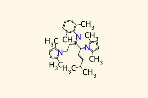 Cc1cccc(C)c1/N=C(\CCn1c(C)ccc1C)[C@H](/C=C/C(C)C)n1c(C)ccc1C